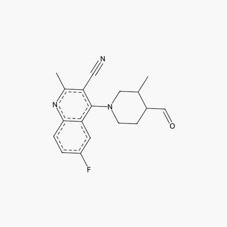 Cc1nc2ccc(F)cc2c(N2CCC(C=O)C(C)C2)c1C#N